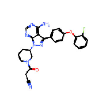 N#CCC(=O)N1CCC[C@@H](n2nc(-c3ccc(Oc4ccccc4F)cc3)c3c(N)ncnc32)C1